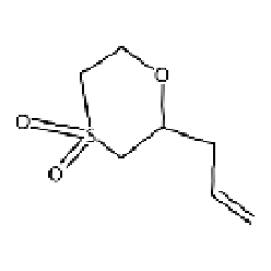 C=CCC1CS(=O)(=O)CCO1